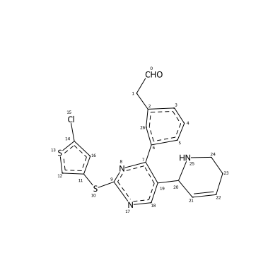 O=CCc1cccc(-c2nc(Sc3csc(Cl)c3)ncc2C2C=CCCN2)c1